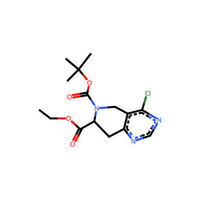 CCOC(=O)C1Cc2ncnc(Cl)c2CN1C(=O)OC(C)(C)C